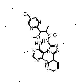 COc1ncnc(O)c1-n1c(N[S+]([O-])C(C)C(OC)c2ncc(Cl)cn2)nnc1C1C=CCOC1